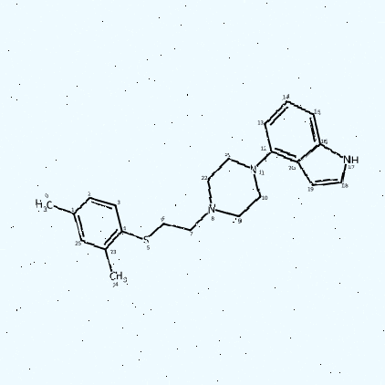 Cc1ccc(SCCN2CCN(c3cccc4[nH]ccc34)CC2)c(C)c1